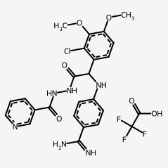 COc1ccc(C(Nc2ccc(C(=N)N)cc2)C(=O)NNC(=O)c2cccnc2)c(Cl)c1OC.O=C(O)C(F)(F)F